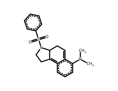 CN(C)c1cccc2c1=CCC1C=2CCN1S(=O)(=O)c1ccccc1